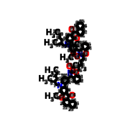 CCCCC(CC)Cn1c2ccc(C(=O)c3c(OCC)ccc4ccccc34)cc2c2cc(C(=NOC(C)=O)c3ccccc3OCCCCCCOc3ccccc3C(=NOC(C)=O)c3ccc4c(c3)c3cc(C(=O)c5c(OCC)ccc6ccccc56)ccc3n4CC(CC)CCCC)ccc21